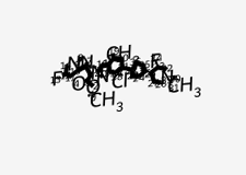 CCOC(=O)C(c1ncn2c1CC(F)C2)n1cc2c(C)cc(-c3ccc([C@H]4CCN(CC)C[C@@H]4F)cc3)c(Cl)c2n1